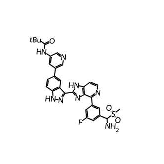 CC(C)(C)C(=O)Nc1cncc(-c2ccc3[nH]nc(-c4nc5c(-c6cc(F)cc(C(N)S(C)(=O)=O)c6)nccc5[nH]4)c3c2)c1